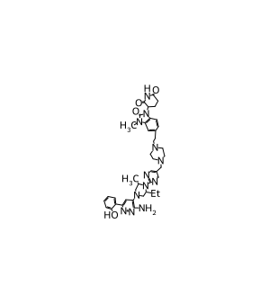 CCC1CN(c2cc(-c3ccccc3O)nnc2N)CC(C)N1c1ncc(CN2CCN(CCc3ccc4c(c3)n(C)c(=O)n4C3CCC(=O)NC3=O)CC2)cn1